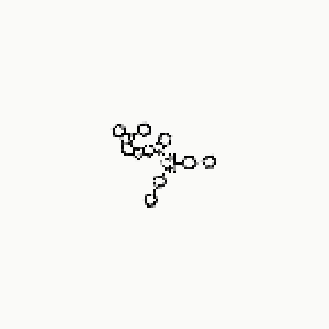 c1ccc(-c2ccc(-c3nc(-c4ccc(-c5ccccc5)cc4)nc(-n4c5ccccc5c5cc6c(cc54)sc4ccc5c7ccccc7n(-c7ccccc7)c5c46)n3)cc2)cc1